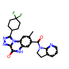 Cc1cc2c(cc1C(=O)N1CCc3cccnc31)[nH]c(=O)c1nnc(C3CCC(F)(F)CC3)n12